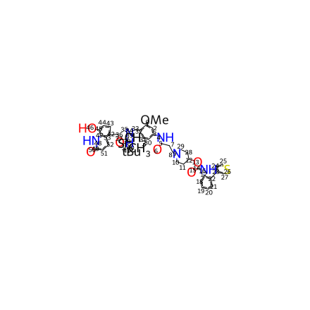 COc1cc(NC(=O)CCN2CCC(OC(=O)Nc3ccccc3-c3ccsc3)CC2)ccc1CNC[C@H](O[Si](C)(C)C(C)(C)C)c1ccc(O)c2[nH]c(=O)ccc12